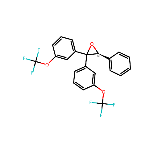 FC(F)(F)Oc1cccc(C2(c3cccc(OC(F)(F)F)c3)O[C@H]2c2ccccc2)c1